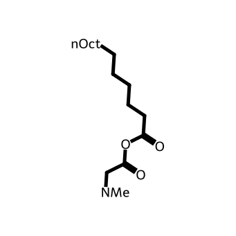 CCCCCCCCCCCCCC(=O)OC(=O)CNC